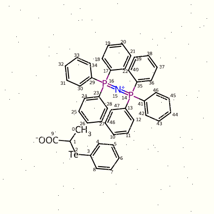 CC([Te]c1ccccc1)C(=O)[O-].c1ccc(P(=[N+]=P(c2ccccc2)(c2ccccc2)c2ccccc2)(c2ccccc2)c2ccccc2)cc1